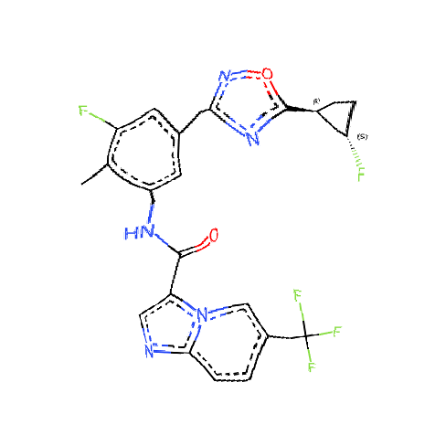 Cc1c(F)cc(-c2noc([C@H]3C[C@@H]3F)n2)cc1NC(=O)c1cnc2ccc(C(F)(F)F)cn12